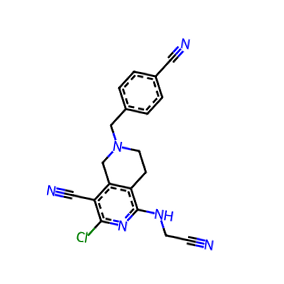 N#CCNc1nc(Cl)c(C#N)c2c1CCN(Cc1ccc(C#N)cc1)C2